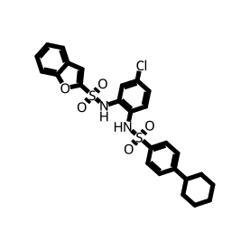 O=S(=O)(Nc1ccc(Cl)cc1NS(=O)(=O)c1cc2ccccc2o1)c1ccc(C2CCCCC2)cc1